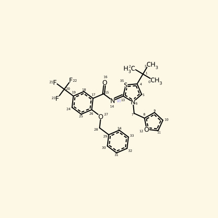 CC(C)(C)c1cn(Cc2ccco2)/c(=N/C(=O)c2cc(C(F)(F)F)ccc2OCc2ccccc2)s1